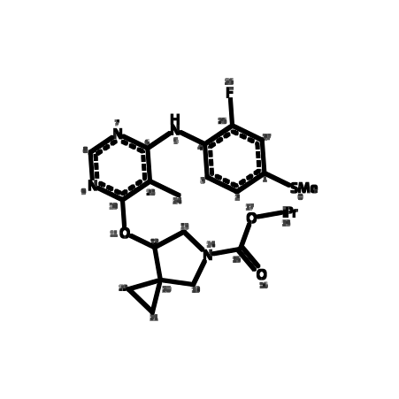 CSc1ccc(Nc2ncnc(OC3CN(C(=O)OC(C)C)CC34CC4)c2C)c(F)c1